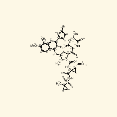 C=C[C@@H]1C[C@]1(NC(=O)[C@@H]1[C@H](C)[C@@H](Oc2cc(-c3nc(C(C)C)cs3)nc3c(C)c(OC)ccc23)CN1C(=O)[C@@H](NC(=O)OC(C)(C)C)C(=C)C)C(=O)NS(=O)(=O)C1(C)CC1